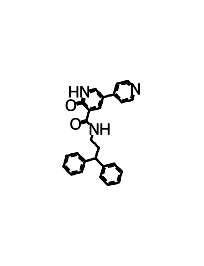 O=C(NCCC(c1ccccc1)c1ccccc1)c1cc(-c2ccncc2)c[nH]c1=O